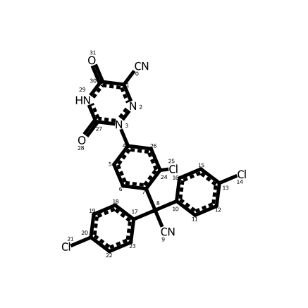 N#Cc1nn(-c2ccc(C(C#N)(c3ccc(Cl)cc3)c3ccc(Cl)cc3)c(Cl)c2)c(=O)[nH]c1=O